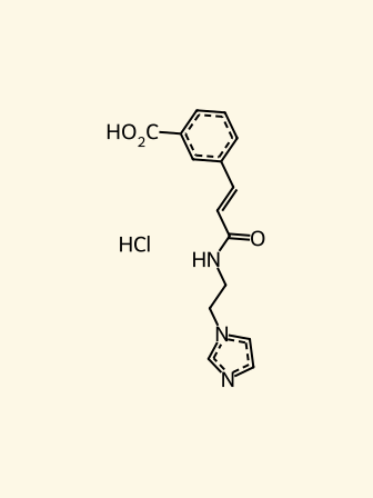 Cl.O=C(C=Cc1cccc(C(=O)O)c1)NCCn1ccnc1